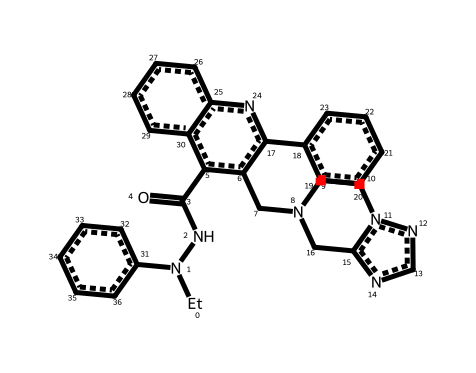 CCN(NC(=O)c1c(CN2CCn3ncnc3C2)c(-c2ccccc2)nc2ccccc12)c1ccccc1